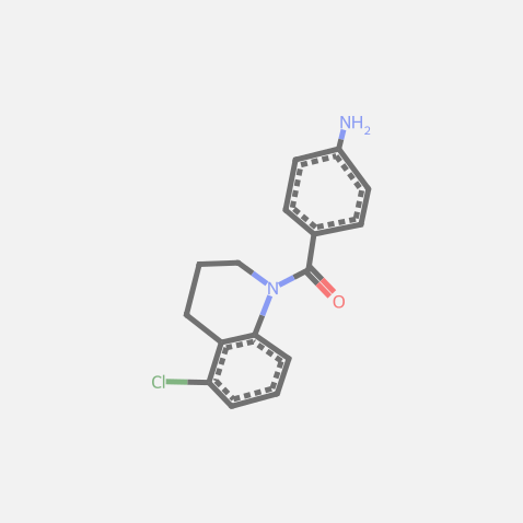 Nc1ccc(C(=O)N2CCCc3c(Cl)cccc32)cc1